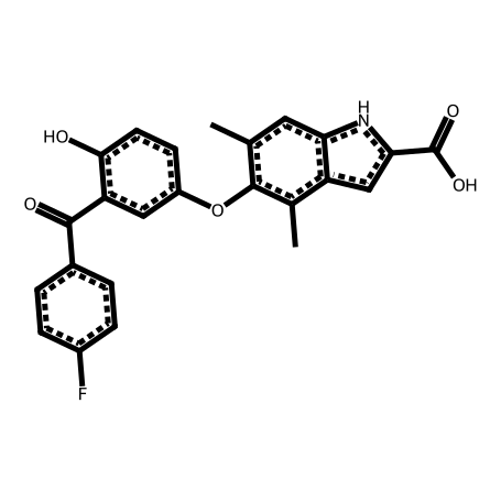 Cc1cc2[nH]c(C(=O)O)cc2c(C)c1Oc1ccc(O)c(C(=O)c2ccc(F)cc2)c1